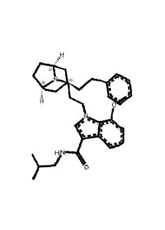 COc1cccc2c(C(=O)NCC(C)C)cn(CCCN3[C@@H]4CC[C@H]3C[C@@H](CCc3ccccc3)C4)c12